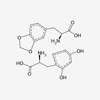 N[C@@H](Cc1ccc(O)cc1O)C(=O)O.N[C@@H](Cc1ccc2c(c1)OCO2)C(=O)O